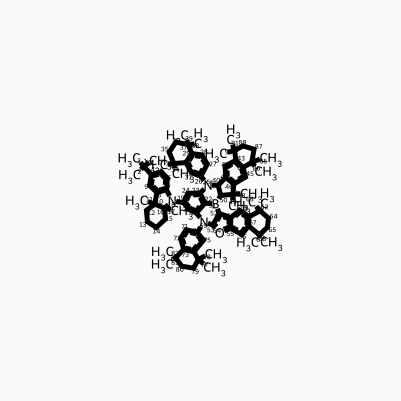 CC(C)(C)c1ccc2c(c1)C1(C)CCCCC1(C)N2c1cc2c3c(c1)N(c1ccc4c(c1)C(C)(C)CCC4(C)C)C1c4cc5c(cc4C(C)(C)C1B3c1c(oc3cc4c(cc13)C(C)(C)CCC4(C)C)N2c1ccc2c(c1)C(C)(C)CCC2(C)C)C(C)(C)CCC5(C)C